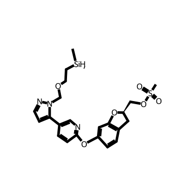 C[SiH](C)CCOCn1nccc1-c1ccc(Oc2ccc3c(c2)O[C@@H](COS(C)(=O)=O)C3)nc1